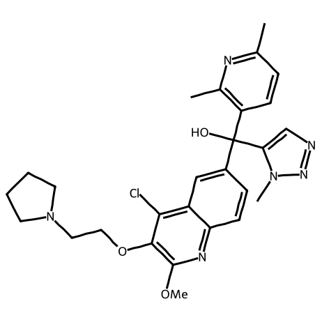 COc1nc2ccc(C(O)(c3ccc(C)nc3C)c3cnnn3C)cc2c(Cl)c1OCCN1CCCC1